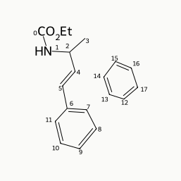 CCOC(=O)NC(C)C=Cc1ccccc1.c1ccccc1